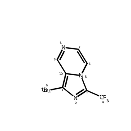 CC(C)(C)c1nc(C(F)(F)F)n2ccncc12